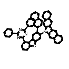 c1ccc(-c2nc(-c3ccccc3)nc(-c3cccc4oc5cc(-n6c7cc8ccccc8cc7c7cc8ccccc8cc76)c(-c6ccc7ccccc7c6)cc5c34)n2)cc1